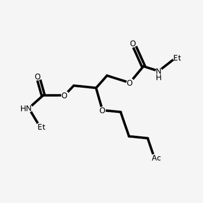 CCNC(=O)OCC(COC(=O)NCC)OCCCC(C)=O